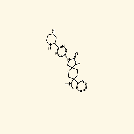 CN(C)C1(c2ccccc2)CCC2(CC1)CN(c1cnc(C3CNCCN3)nc1)C(=O)N2